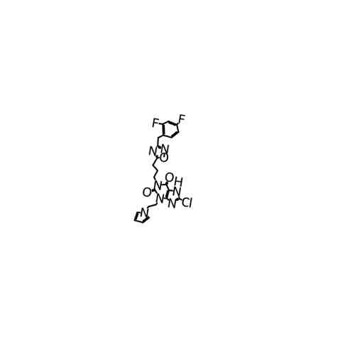 O=c1c2[nH]c(Cl)nc2n(CCn2cccc2)c(=O)n1CCCc1nc(Cc2ccc(F)cc2F)no1